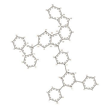 c1ccc(-c2nc(-c3ccccc3)nc(-c3ccc(-n4c5cc(-n6c7ccccc7c7ccccc76)ccc5c5c6c(ccc54)sc4ccccc46)cc3)n2)cc1